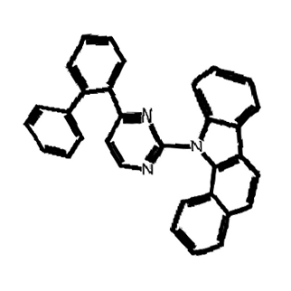 c1ccc(-c2ccccc2-c2ccnc(-n3c4ccccc4c4ccc5ccccc5c43)n2)cc1